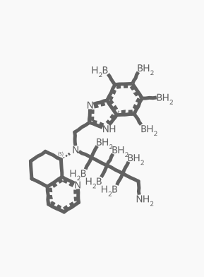 Bc1c(B)c(B)c2[nH]c(CN([C@H]3CCCc4cccnc43)C(B)(B)C(B)(B)C(B)(B)CN)nc2c1B